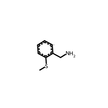 CSc1ccc[c]c1CN